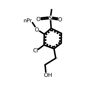 CCCOc1c(S(C)(=O)=O)ccc([CH]CO)c1Cl